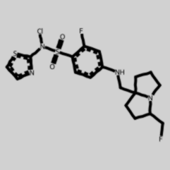 O=S(=O)(c1ccc(NCC23CCCN2C(CF)CC3)cc1F)N(Cl)c1nccs1